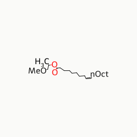 CCCCCCCC/C=C\CCCCCCCC(=O)OC(C)COC